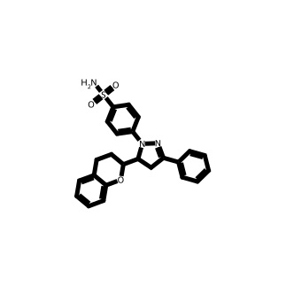 NS(=O)(=O)c1ccc(N2N=C(c3ccccc3)CC2C2CCc3ccccc3O2)cc1